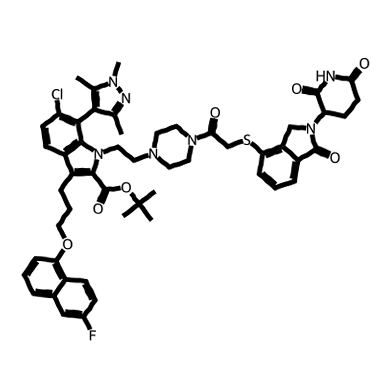 Cc1nn(C)c(C)c1-c1c(Cl)ccc2c(CCCOc3cccc4cc(F)ccc34)c(C(=O)OC(C)(C)C)n(CCN3CCN(C(=O)CSc4cccc5c4CN(C4CCC(=O)NC4=O)C5=O)CC3)c12